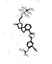 CC(C)Oc1ccc(-c2nc(-c3cccc4c3CCC43CC(=O)N(CCO[Si](C)(C)C(C)(C)C)C3)ns2)cc1C#N